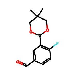 CC1(C)COB(c2cc(C=O)ccc2F)OC1